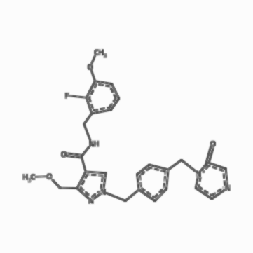 COCc1nn(Cc2ccc(Cn3ccncc3=O)cc2)cc1C(=O)NCc1cccc(OC)c1F